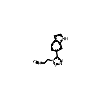 [C-]#[N+]CCn1nnnc1-c1ccc2cc[nH]c2c1